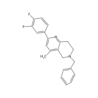 Cc1cc(-c2ccc(F)c(F)c2)nc2c1CN(Cc1ccccc1)CC2